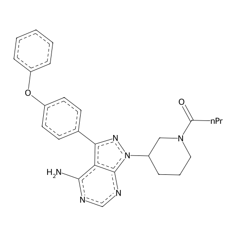 CCCC(=O)N1CCCC(n2nc(-c3ccc(Oc4ccccc4)cc3)c3c(N)ncnc32)C1